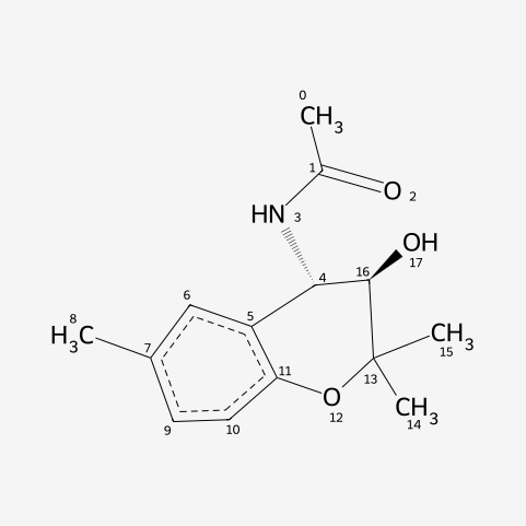 CC(=O)N[C@H]1c2cc(C)ccc2OC(C)(C)[C@@H]1O